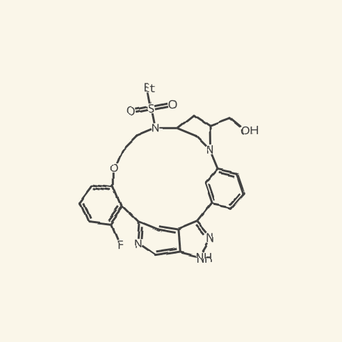 CCS(=O)(=O)N1CCOc2cccc(F)c2-c2cc3c(n[nH]c3cn2)-c2cccc(c2)N2CC1CC2CO